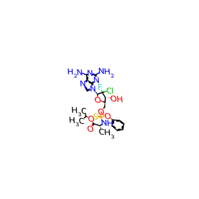 CC(C)OC(=O)[C@@H](C)N[P@](=S)(OC[C@H]1O[C@@H](n2cnc3c(N)nc(N)nc32)[C@](F)(Cl)[C@@H]1O)Oc1ccccc1